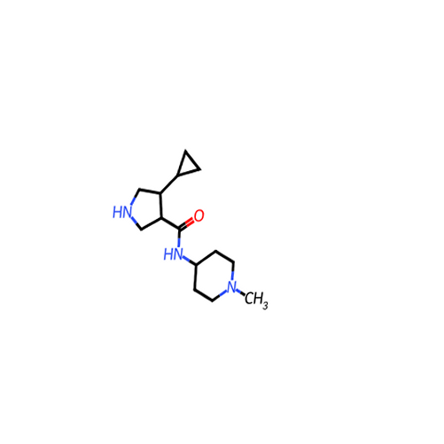 CN1CCC(NC(=O)C2CNCC2C2CC2)CC1